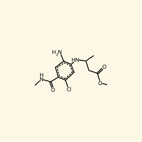 CNC(=O)c1cc(N)c(NC(C)CC(=O)OC)cc1Cl